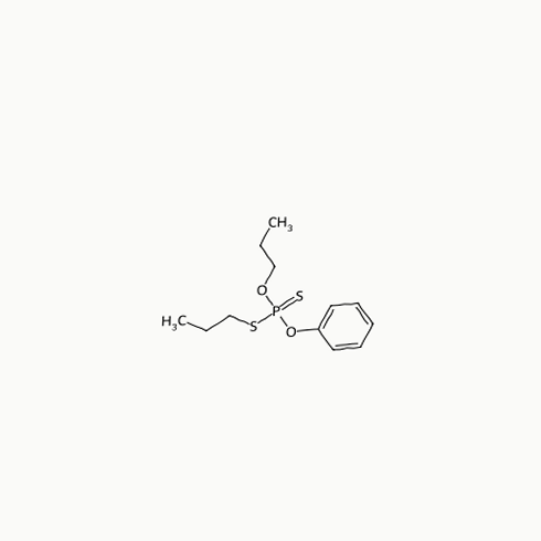 CCCOP(=S)(Oc1ccccc1)SCCC